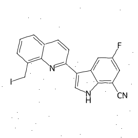 N#Cc1cc(F)cc2c(-c3ccc4cccc(CI)c4n3)c[nH]c12